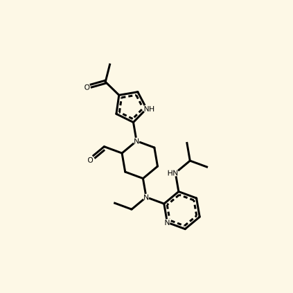 CCN(c1ncccc1NC(C)C)C1CCN(c2cc(C(C)=O)c[nH]2)C(C=O)C1